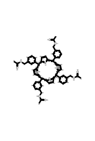 CC(=O)OCc1cccc(-c2c3nc(c(-c4cccc(COC(C)=O)c4)c4ccc([nH]4)c(-c4cccc(COC(C)=O)c4)c4nc(c(-c5cccc(COC(C)=O)c5)c5ccc2[nH]5)C=C4)C=C3)c1